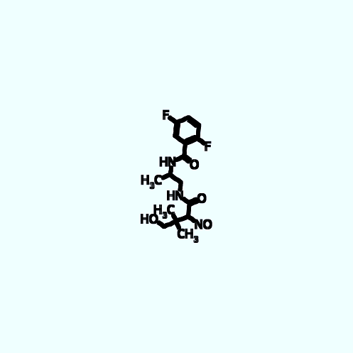 CC(CNC(=O)C(N=O)C(C)(C)CO)NC(=O)c1cc(F)ccc1F